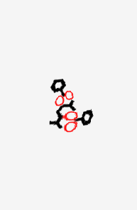 CC(C)C(CC(OC(=O)c1ccccc1)C(C)C)OC(=O)c1ccccc1